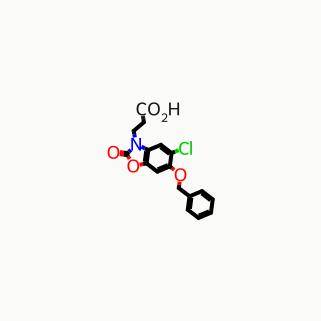 O=C(O)CCn1c(=O)oc2cc(OCc3ccccc3)c(Cl)cc21